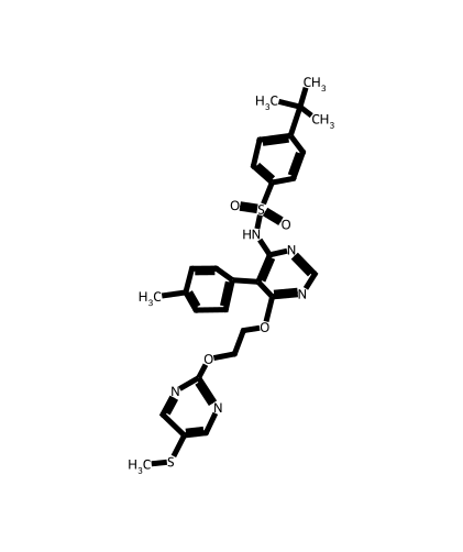 CSc1cnc(OCCOc2ncnc(NS(=O)(=O)c3ccc(C(C)(C)C)cc3)c2-c2ccc(C)cc2)nc1